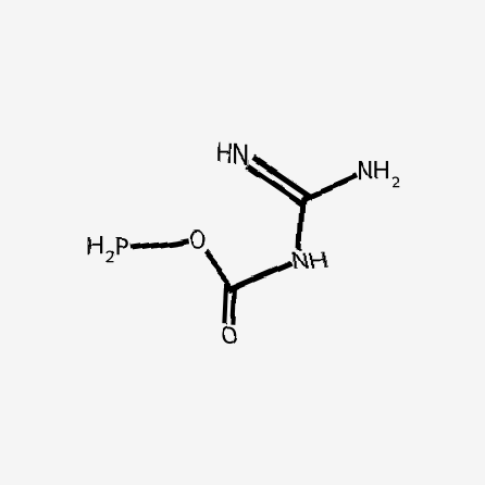 N=C(N)NC(=O)OP